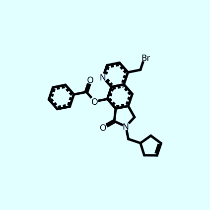 O=C(Oc1c2c(cc3c(CBr)ccnc13)CN(CC1CC=CC1)C2=O)c1ccccc1